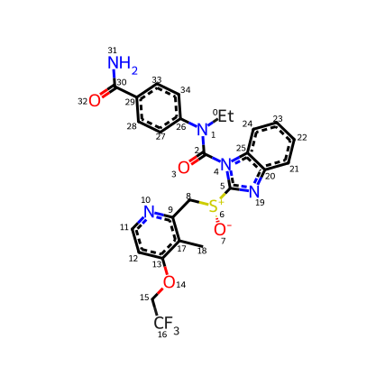 [CH2]CN(C(=O)n1c([S@+]([O-])Cc2nccc(OCC(F)(F)F)c2C)nc2ccccc21)c1ccc(C(N)=O)cc1